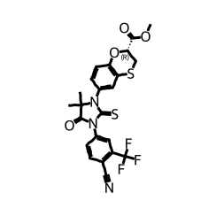 COC(=O)[C@@H]1CSc2cc(N3C(=S)N(c4ccc(C#N)c(C(F)(F)F)c4)C(=O)C3(C)C)ccc2O1